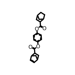 O=C(Oc1ccc(OC(=O)C2CC3CCC2C3)cc1)C1CC2C=CC1C2